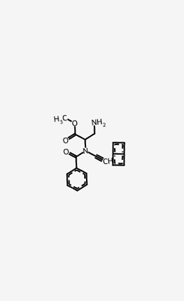 C#CN(C(=O)c1ccccc1)C(CN)C(=O)OC.c1cc2ccc1-2